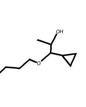 CCCCOC(C(C)O)C1CC1